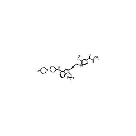 CNC(=O)c1ccc(NCC#Cc2cc3c(NC4CCC(N5CC[S+]([O-])CC5)CC4)cccc3n2CC(F)(F)F)c(OC)c1